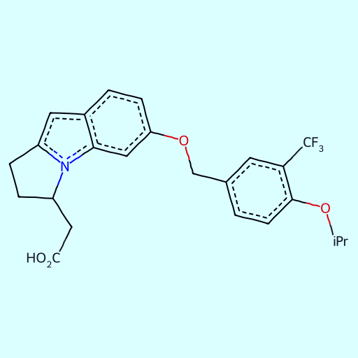 CC(C)Oc1ccc(COc2ccc3cc4n(c3c2)C(CC(=O)O)CC4)cc1C(F)(F)F